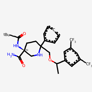 CC(OCC1(c2ccccc2)CC[C@@](NC(=O)C(C)(C)C)(C(N)=O)CN1)c1cc(C(F)(F)F)cc(C(F)(F)F)c1